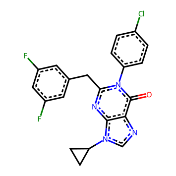 O=c1c2ncn(C3CC3)c2nc(Cc2cc(F)cc(F)c2)n1-c1ccc(Cl)cc1